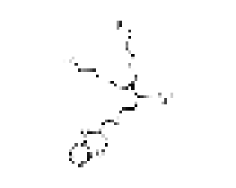 CC(C)CCCCCN(CCCCCC(C)C)C(CCOCC1COc2cscc2O1)S(=O)(=O)O